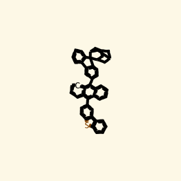 c1ccc2c(c1)-c1cc(-c3c4ccccc4c(-c4ccc5sc6ccccc6c5c4)c4ccccc34)ccc1C21C2CC3CC(C2)CC1C3